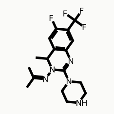 CC(C)=NN1C(N2CCNCC2)=Nc2cc(C(F)(F)F)c(F)cc2C1C